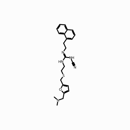 CN(C)Cc1ccc(CSCCN/C(=N/CCc2cccc3ccccc23)NC#N)o1